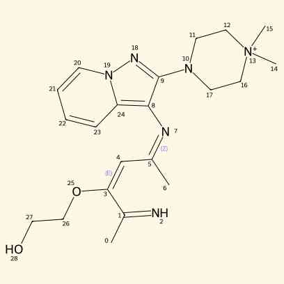 CC(=N)/C(=C\C(C)=N/c1c(N2CC[N+](C)(C)CC2)nn2ccccc12)OCCO